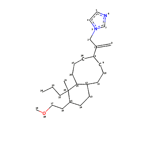 C=C(Cn1ccnc1)C1CCCC2CCC(CCOC)C(C)(CCC)C2CCC1